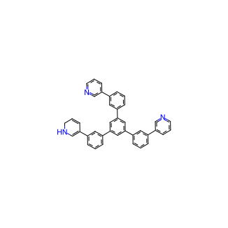 C1=CC(c2cccc(-c3cc(-c4cccc(-c5cccnc5)c4)cc(-c4cccc(-c5cccnc5)c4)c3)c2)=CNC1